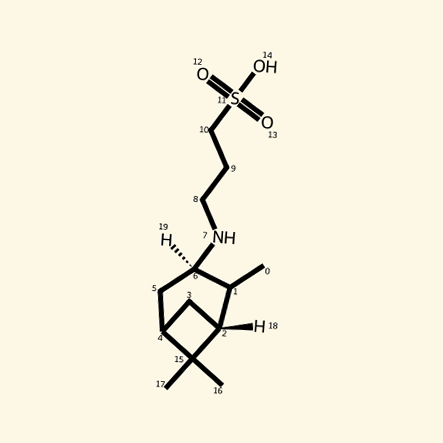 CC1[C@H]2CC(C[C@H]1NCCCS(=O)(=O)O)C2(C)C